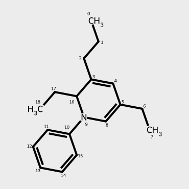 CCCC1=CC(CC)=CN(c2ccccc2)C1CC